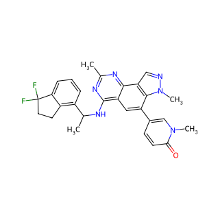 Cc1nc(NC(C)c2cccc3c2CCC3(F)F)c2cc(-c3ccc(=O)n(C)c3)c3c(cnn3C)c2n1